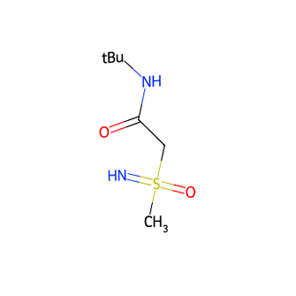 CC(C)(C)NC(=O)CS(C)(=N)=O